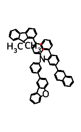 CC1(C)c2ccccc2-c2cccc(-c3ccc(N(c4cccc(-c5ccc6oc7ccccc7c6c5)c4)c4cc(-c5ccc6ccccc6c5)ccc4-c4ccccc4)cc3)c21